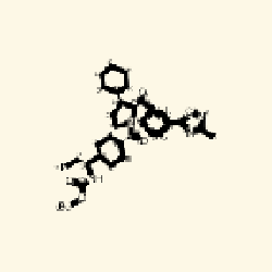 Cc1noc(-c2ccc([N+]3(C(=O)[C@H]4CC[C@H]([C@@H](CF)NC(=O)OC(C)(C)C)CC4)CC[C@@H](C4CCCCC4)[C@H]3C(N)=O)cc2)n1